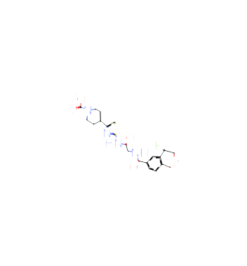 COC(=O)N1CCC(c2csc(NC(=O)CNC(=O)c3ccc4c(c3)[C@](C)(F)COC4)n2)CC1